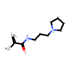 C=C(C)C(=O)NCCCN1CCCC1